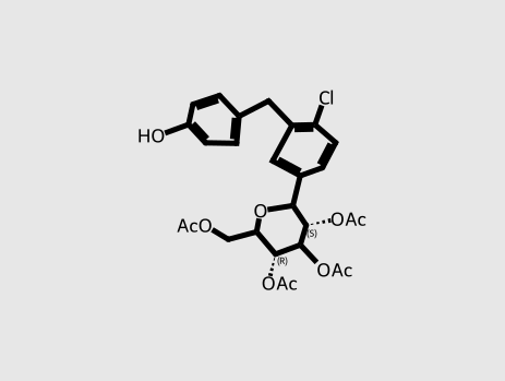 CC(=O)OCC1OC(c2ccc(Cl)c(Cc3ccc(O)cc3)c2)[C@H](OC(C)=O)C(OC(C)=O)[C@@H]1OC(C)=O